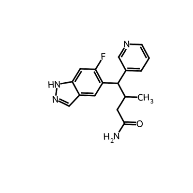 CC(CC(N)=O)C(c1cccnc1)c1cc2cn[nH]c2cc1F